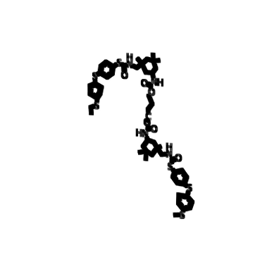 CCSc1ccc(Sc2ccc(SC(=O)NCC3(C)CC(NC(=O)OCCCCOC(=O)NC4CC(C)(C)CC(C)(CNC(=O)Sc5ccc(Sc6ccc(SC)cc6)cc5)C4)CC(C)(C)C3)cc2)cc1